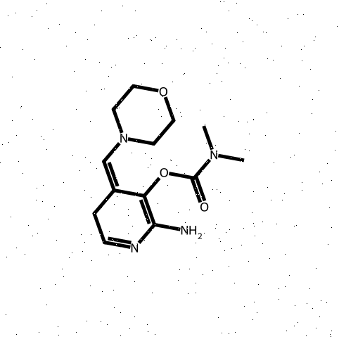 CN(C)C(=O)OC1=C(N)N=CCC1=CN1CCOCC1